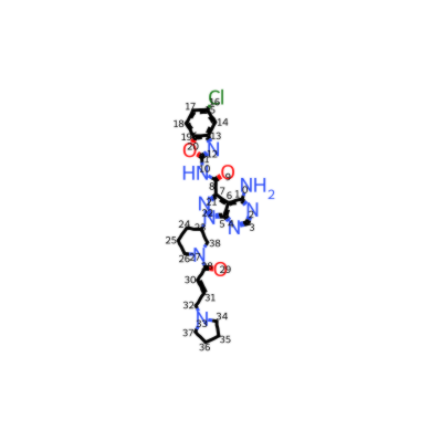 Nc1ncnc2c1c(C(=O)Nc1nc3cc(Cl)ccc3o1)nn2C1CCCN(C(=O)C=CCN2CCCC2)C1